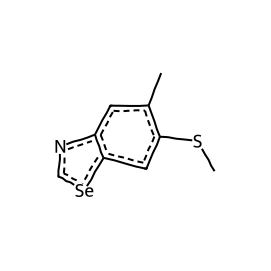 CSc1cc2[se]cnc2cc1C